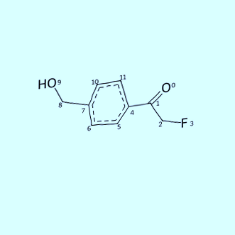 O=C(CF)c1ccc(CO)cc1